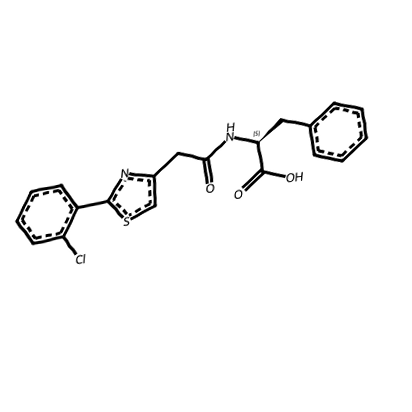 O=C(Cc1csc(-c2ccccc2Cl)n1)N[C@@H](Cc1ccccc1)C(=O)O